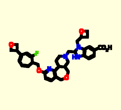 O=C(O)c1ccc2c(c1)N(CC1CCO1)C(CN1CCC3c4nc(OCC5C=CC=C(C6COC6)C=C5F)ccc4COCC3C1)N2